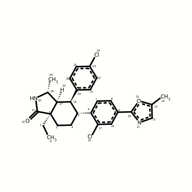 CC[C@@]12CC[C@@H](c3ccc(-c4ncc(C)o4)cc3Cl)[C@H](c3ccc(Cl)cc3)[C@@H]1[C@@H](C)NC2=O